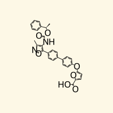 Cc1noc(-c2ccc(-c3ccc(Oc4ccc(C(=O)O)o4)cc3)cc2)c1NC(=O)O[C@H](C)c1ccccc1